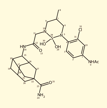 CC(=O)Nc1ccc(N2CC(C)CN(CC(=O)NC3C4CC5CC3CC(C(N)=O)(C5)C4)S2(O)O)c(Cl)c1